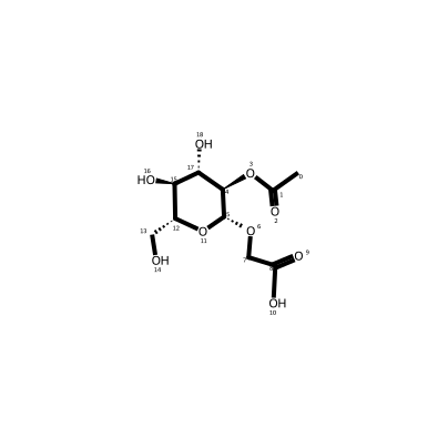 CC(=O)O[C@H]1[C@H](OCC(=O)O)O[C@H](CO)[C@@H](O)[C@@H]1O